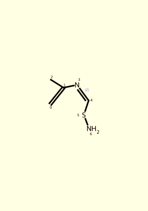 C=C(C)/N=C\SN